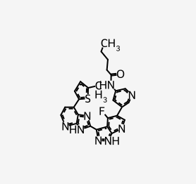 CCCCC(=O)Nc1cncc(-c2cnc3[nH]nc(-c4nc5c(-c6ccc(C)s6)ccnc5[nH]4)c3c2F)c1